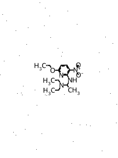 CCOc1ccc([N+](=O)[O-])c(NC(C)N(CC)CC)n1